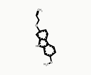 C=CCOc1ccc2c(c1)[nH]c1cc(OC)ccc12